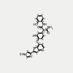 CCn1cnc(-c2cc3nccc(Oc4ccc(C(C(N)=O)C(=O)Nc5ccccc5O)cc4F)c3s2)c1